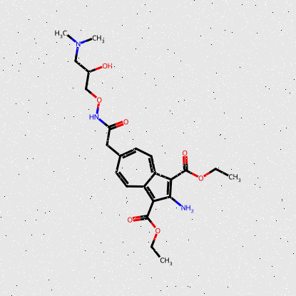 CCOC(=O)c1c2ccc(CC(=O)NOCC(O)CN(C)C)ccc-2c(C(=O)OCC)c1N